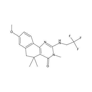 COc1ccc2c(c1)CC(C)(C)c1c-2nc(NCC(F)(F)F)n(C)c1=O